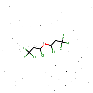 FC(F)(Cl)CC(Cl)OC(Cl)CC(F)(F)Cl